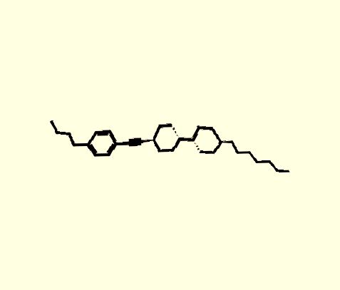 CCCCCCC[C@H]1CC[C@H]([C@H]2CC[C@H](C#Cc3ccc(CCCC)cc3)CC2)CC1